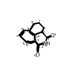 O=C1NC(=O)C2CCCc3cccc1c32